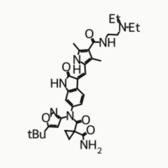 CCN(CC)CCNC(=O)c1c(C)[nH]c(/C=C2\C(=O)Nc3cc(N(C(=O)C4(C(N)=O)CC4)c4cc(C(C)(C)C)on4)ccc32)c1C